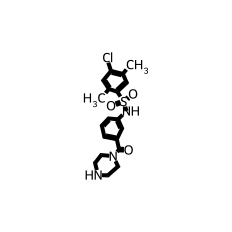 Cc1cc(S(=O)(=O)Nc2cccc(C(=O)N3CCNCC3)c2)c(C)cc1Cl